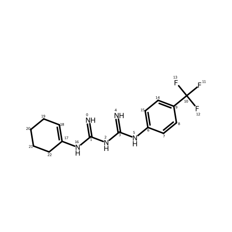 N=C(NC(=N)Nc1ccc(C(F)(F)F)cc1)NC1=CCCCC1